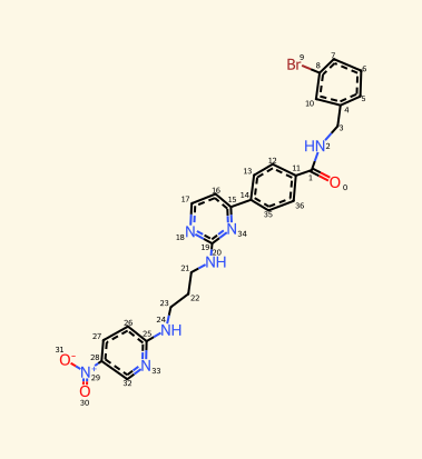 O=C(NCc1cccc(Br)c1)c1ccc(-c2ccnc(NCCCNc3ccc([N+](=O)[O-])cn3)n2)cc1